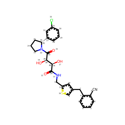 N#Cc1ccccc1Cc1csc(CNC(=O)[C@H](O)[C@@H](O)C(=O)N2CCC[C@@H]2c2cccc(Cl)c2)c1